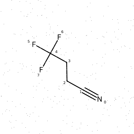 N#CCCC(F)(F)F